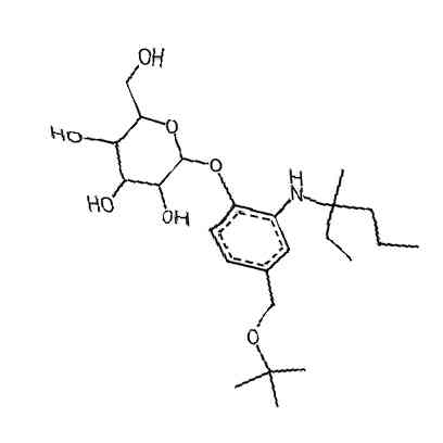 CCCC(C)(CC)Nc1cc(COC(C)(C)C)ccc1OC1OC(CO)C(O)C(O)C1O